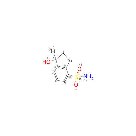 [2H]C1(O)CCc2c1cccc2S(N)(=O)=O